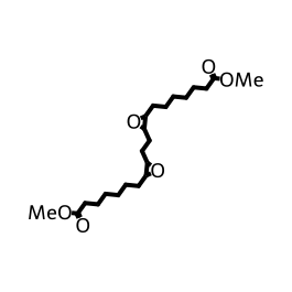 COC(=O)CCCCCCC1OC1CCC1OC1CCCCCCC(=O)OC